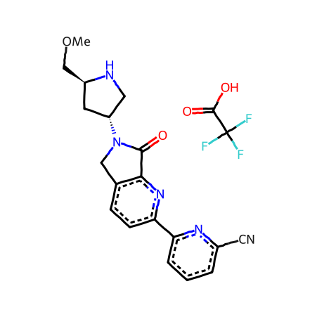 COC[C@@H]1C[C@@H](N2Cc3ccc(-c4cccc(C#N)n4)nc3C2=O)CN1.O=C(O)C(F)(F)F